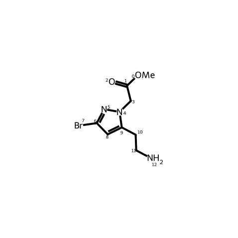 COC(=O)Cn1nc(Br)cc1CCN